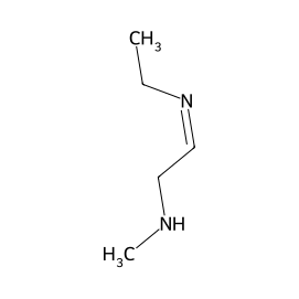 CC/N=C\CNC